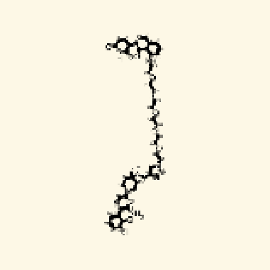 CC1(NCc2cn(CCOCCOCCOCCOCCOCCNc3cccc4cnn(C5CCC(=O)NC5=O)c(=O)c34)nn2)CCN(c2cnc(-c3cccc(Cl)c3Cl)c(N)n2)CC1